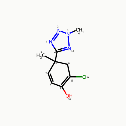 Cn1nnc(C2(C)C=CC(O)=C(Cl)C2)n1